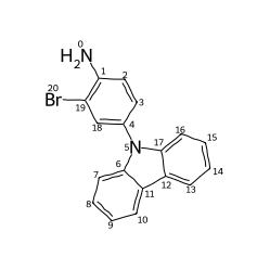 Nc1ccc(-n2c3ccccc3c3ccccc32)cc1Br